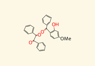 COc1ccc(C(=O)c2ccccc2)c(O)c1.O=C(C(=O)c1ccccc1)c1ccccc1